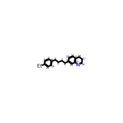 CCc1ccc(CCCCc2ccc3c(c2)N=CCC3)cc1